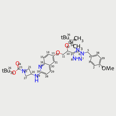 COc1ccc(Cn2nnc(C(COc3ccc4nc(NC5CN(C(=O)OC(C)(C)C)C5)ccc4c3)O[Si](C)(C)C(C)(C)C)n2)cc1